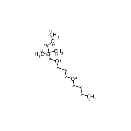 CCCCOCCCOCC(C)(C)COC